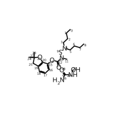 CCCCN(CCCC)SN(C)C(=O)Oc1cccc2c1OC(C)(C)C2.NC(=O)NO